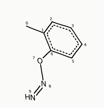 Cc1ccccc1ON=N